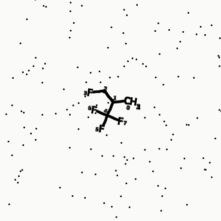 C[C](CF)C(F)(F)F